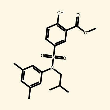 COC(=O)c1cc(S(=O)(=O)N(CC(C)C)c2cc(C)cc(C)c2)ccc1O